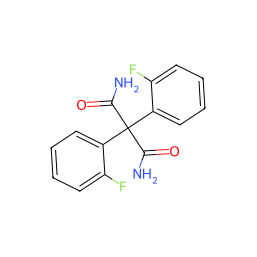 NC(=O)C(C(N)=O)(c1ccccc1F)c1ccccc1F